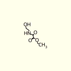 CCOC(=O)C(=O)NCCO